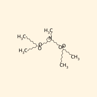 CCCCCCCCC(CCCCCC)C(=O)OCCCCCC1CC(CCCOC(=O)C(CCCCCC)CCCCCCCC)CCN1CCCC